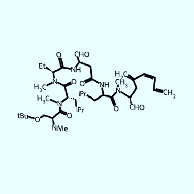 C=C/C=C\C(=C)C[C@@H](C=O)N(C)C(=O)C(CC(C)C)NC(=O)CC(C=O)NC(=O)[C@H](CC)N(C)C(=O)[C@H](CC(C)C)N(C)C(=O)[C@H](COC(C)(C)C)NC